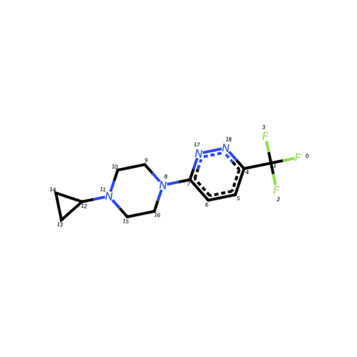 FC(F)(F)c1ccc(N2CCN(C3CC3)CC2)nn1